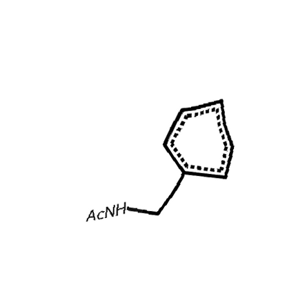 [CH]C(=O)NCc1ccccc1